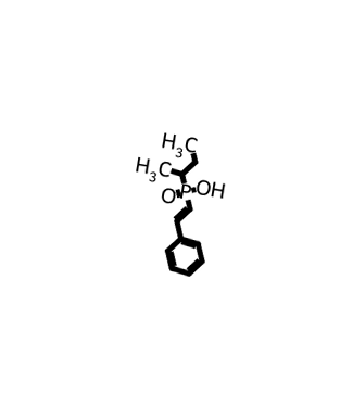 CCC(C)P(=O)(O)/C=C/c1ccccc1